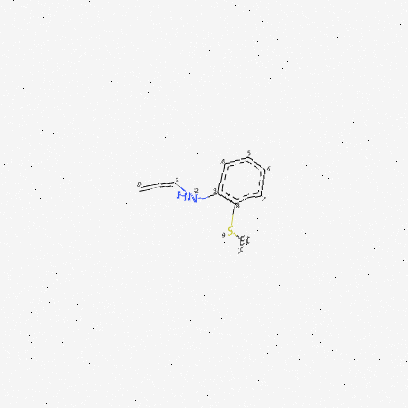 C=CNc1ccccc1SCC